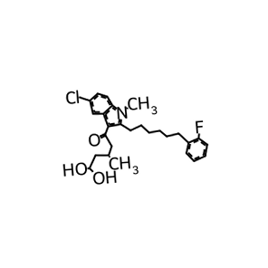 C[C@@H](CC(=O)c1c(CCCCCCc2ccccc2F)n(C)c2ccc(Cl)cc12)CC(O)O